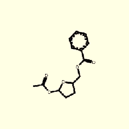 CC(=O)OC1CCC(COC(=O)c2ccccc2)O1